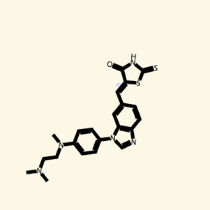 CN(C)CCN(C)c1ccc(-n2cnc3ccc(/C=C4\SC(=S)NC4=O)cc32)cc1